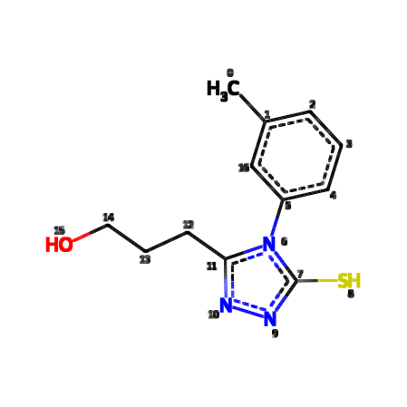 Cc1cccc(-n2c(S)nnc2CCCO)c1